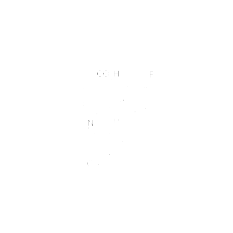 O=C(O)c1ccc2c(ccn2-c2cc(Cl)ccc2OCc2ccc(F)cc2)c1